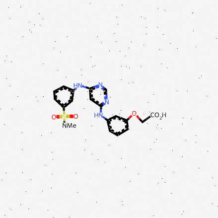 CNS(=O)(=O)c1cccc(Nc2cc(Nc3cccc(OCC(=O)O)c3)ncn2)c1